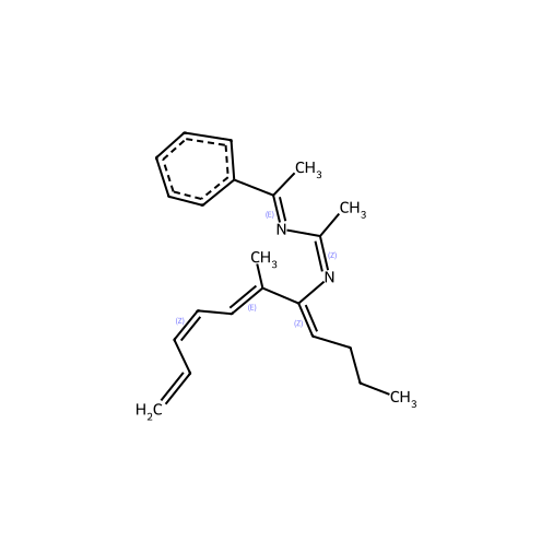 C=C\C=C/C=C(C)/C(=C/CCC)/N=C(C)\N=C(/C)c1ccccc1